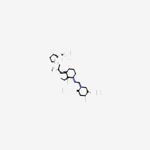 C=C1/C(=C\C=C2/CCC[C@]3(C)[C@@H]([C@H](C)CN4CCC[C@@H]4C(C)(C)O)CC[C@@H]23)C[C@@H](O)C[C@@H]1O